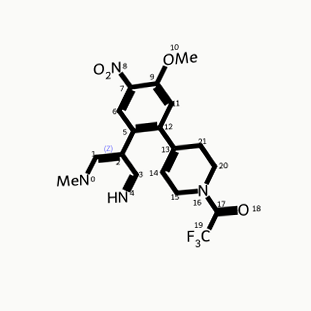 CN/C=C(\C=N)c1cc([N+](=O)[O-])c(OC)cc1C1=CCN(C(=O)C(F)(F)F)CC1